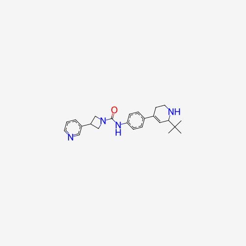 CC(C)(C)C1C=C(c2ccc(NC(=O)N3CC(c4cccnc4)C3)cc2)CCN1